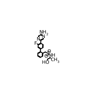 C[C@@H](CO)NS(=O)(=O)Cc1ccccc1-c1ccc(-c2cnc(N)cn2)c(F)c1